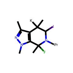 Cc1nn(C)c2c1[C](C)([K])C(I)N(C(C)C)C2(C)F